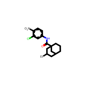 CCC1CC2CCCC(C(=O)Nc3ccc([N+](=O)[O-])c(Cl)c3)(C1)C2